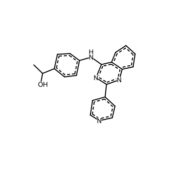 CC(O)c1ccc(Nc2nc(-c3ccncc3)nc3ccccc23)cc1